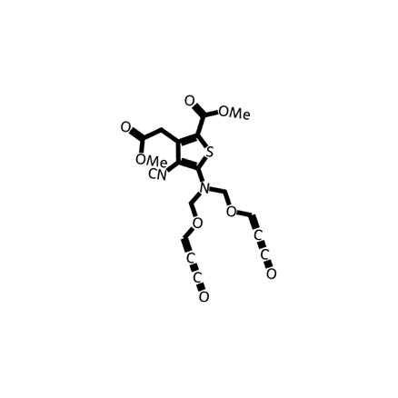 [C-]#[N+]c1c(N(COC=C=C=O)COC=C=C=O)sc(C(=O)OC)c1CC(=O)OC